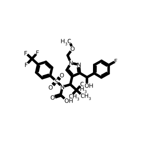 COCn1cc(C(N(C(=O)O)S(=O)(=O)c2ccc(C(F)(F)F)cc2)C(C)(C)C)c(C(O)c2ccc(F)cc2)n1